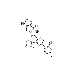 CC1CCN(c2nc(-c3ccccc3Cl)ccc2C(=O)NS(=O)(=O)c2ccc[nH]c2=O)C1(C)C